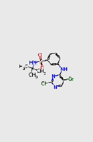 CC(C)(C)NS(=O)(=O)c1cccc(Nc2nc(Cl)ncc2Br)c1